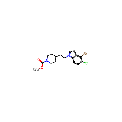 CC(C)(C)OC(=O)N1CCC(CCn2ccc3c(Br)c(Cl)ccc32)CC1